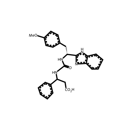 COc1ccc(C[C@@H](NC(=O)NC(CC(=O)O)c2ccccc2)c2nc3ccccc3[nH]2)cc1